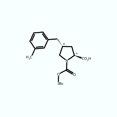 Cc1cccc(C[C@@H]2C[C@@H](C(=O)O)N(C(=O)OC(C)(C)C)C2)c1